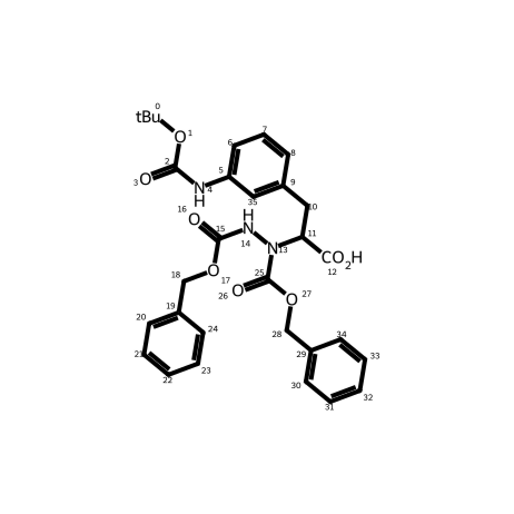 CC(C)(C)OC(=O)Nc1cccc(CC(C(=O)O)N(NC(=O)OCc2ccccc2)C(=O)OCc2ccccc2)c1